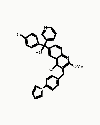 COc1nc2ccc(C(O)(c3ccc(Cl)cc3)c3cccnc3)cc2c(Cl)c1Cc1ccc(-n2cccc2)cc1